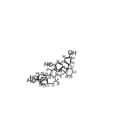 CC(CCCC1(CCCC(C)Cc2ccc(O)cc2)CCCCC1(c1ccc(O)cc1)c1ccc(O)cc1)Cc1ccc(O)cc1